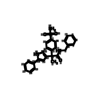 CC(C(=O)NCc1ccccc1)(c1ccc(S(N)(=O)=O)cc1)c1cc(-c2ccccc2)[nH]n1